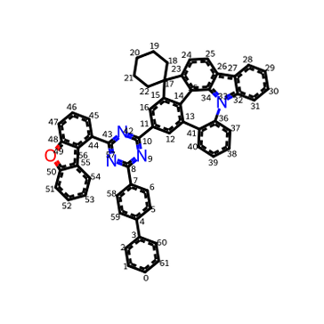 c1ccc(-c2ccc(-c3nc(-c4cc5c6c(c4)C4(CCCCC4)c4ccc7c8ccccc8n(c7c4-6)-c4ccccc4-5)nc(-c4cccc5oc6ccccc6c45)n3)cc2)cc1